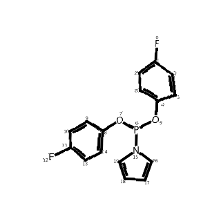 Fc1ccc(OP(Oc2ccc(F)cc2)n2cccc2)cc1